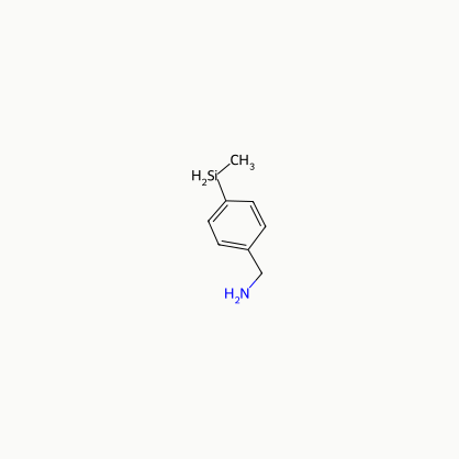 C[SiH2]c1ccc(CN)cc1